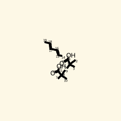 CC(C)(C)C(=O)O.CC(C)(C)C(=O)O.CC=CC=CC